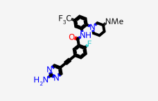 CNC1CCCN(c2ccc(C(F)(F)F)cc2NC(=O)c2cc(C#Cc3cnc(N)nc3)ccc2F)C1